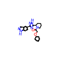 O=C(COc1ccccc1)N1CCCCC1c1nc(-c2ccc3[nH]ncc3c2)n[nH]1